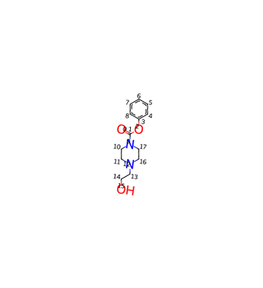 O=C(Oc1ccccc1)N1CCN(CCO)CC1